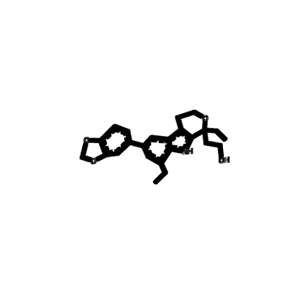 CCc1cc(-c2ccc3c(c2)OCO3)cc2c3c([nH]c12)C(CC)(CCO)OCC3